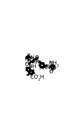 Cc1c(C(=O)O)ccc2c1CC[C@@H]2NC(=O)c1cc(C(=O)NCc2cccc(CNC3=C(N)COC3=O)c2)nc2ccnn12